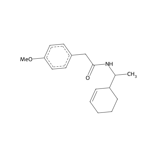 COc1ccc(CC(=O)NC(C)C2C=CCCC2)cc1